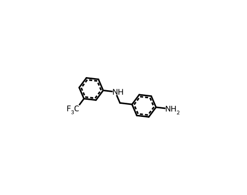 Nc1ccc(CNc2cccc(C(F)(F)F)c2)cc1